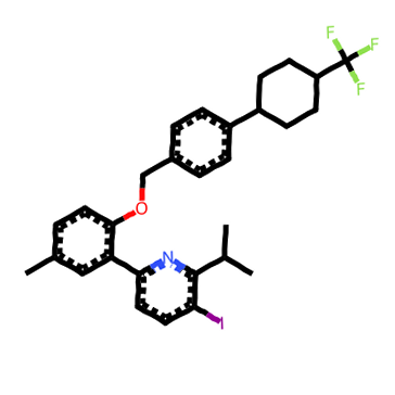 Cc1ccc(OCc2ccc(C3CCC(C(F)(F)F)CC3)cc2)c(-c2ccc(I)c(C(C)C)n2)c1